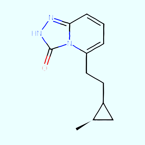 C[C@@H]1CC1CCc1cccc2n[nH]c(=O)n12